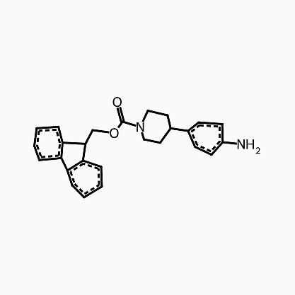 Nc1ccc(C2CCN(C(=O)OCC3c4ccccc4-c4ccccc43)CC2)cc1